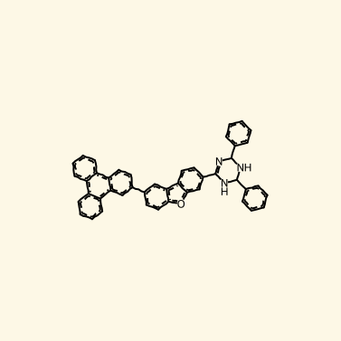 c1ccc(C2N=C(c3ccc4c(c3)oc3ccc(-c5ccc6c7ccccc7c7ccccc7c6c5)cc34)NC(c3ccccc3)N2)cc1